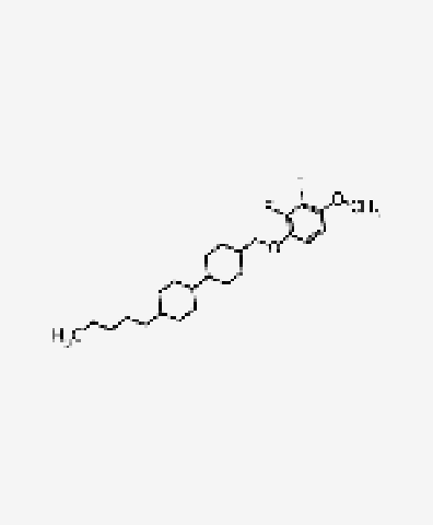 CCCCCC1CCC(C2CCC(COc3ccc(OC)c(F)c3F)CC2)CC1